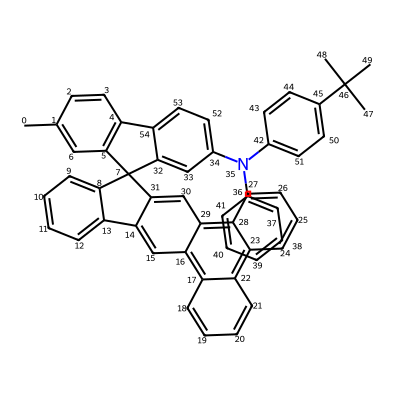 Cc1ccc2c(c1)C1(c3ccccc3-c3cc4c5ccccc5c5ccccc5c4cc31)c1cc(N(c3ccccc3)c3ccc(C(C)(C)C)cc3)ccc1-2